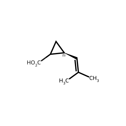 CC(C)=C[C@@H]1CC1C(=O)O